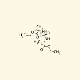 CCOC(=O)[C@H](C)NP(=O)(O)N[C@@H](C)C(=O)OCC